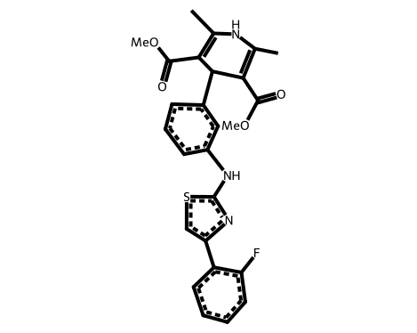 COC(=O)C1=C(C)NC(C)=C(C(=O)OC)C1c1cccc(Nc2nc(-c3ccccc3F)cs2)c1